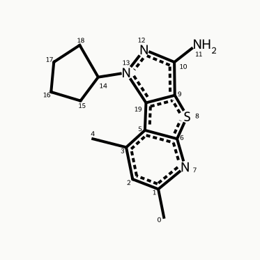 Cc1cc(C)c2c(n1)sc1c(N)nn(C3CCCC3)c12